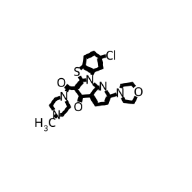 CN1CCN(C(=O)c2c(=O)c3ccc(N4CCOCC4)nc3n3c2sc2ccc(Cl)cc23)CC1